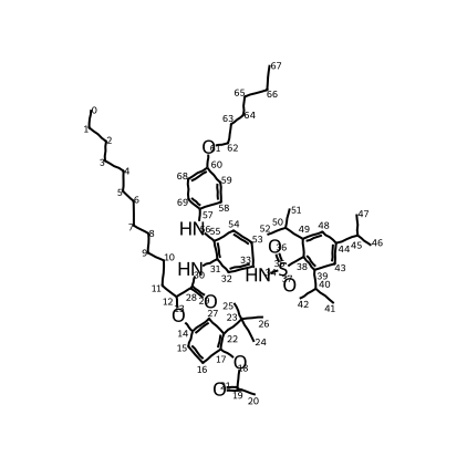 CCCCCCCCCCCCC(Oc1ccc(OC(C)=O)c(C(C)(C)C)c1)C(=O)Nc1cc(NS(=O)(=O)c2c(C(C)C)cc(C(C)C)cc2C(C)C)ccc1Nc1ccc(OCCCCCC)cc1